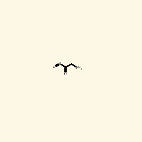 NCC(=O)N=O